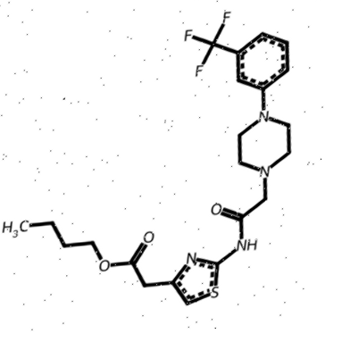 CCCCOC(=O)Cc1csc(NC(=O)CN2CCN(c3cccc(C(F)(F)F)c3)CC2)n1